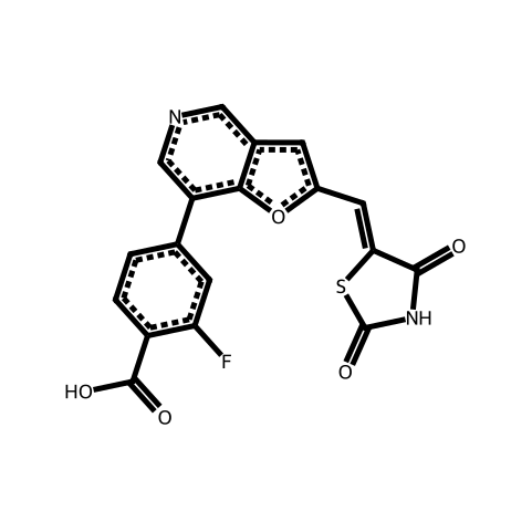 O=C1NC(=O)C(=Cc2cc3cncc(-c4ccc(C(=O)O)c(F)c4)c3o2)S1